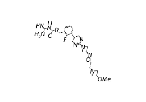 COC1CN(CCON=C2CN(c3ncc(-c4cccc(COC(=O)NC(=N)N)c4F)cn3)C2)C1